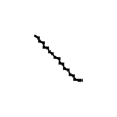 C=NN=NN=NN=NN=NN=NN=NN=NN=N